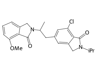 COc1cccc2c1C(=O)N(C(C)Cc1cc(Cl)c3c(c1)CN(C(C)C)C3=O)C2